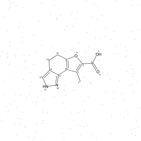 Cc1c(C(=O)O)oc2c1-c1n[nH]cc1CC2